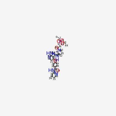 CCOP(=O)(CCC(=O)N1CCC[C@@H](Nc2n[nH]c3nccc(Oc4ccc(C(=O)Nc5cc(C)ccn5)cc4)c23)C1)OCC